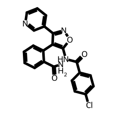 NC(=O)c1ccccc1-c1c(-c2cccnc2)noc1NC(=O)c1ccc(Cl)cc1